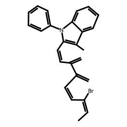 C=C(/C=C\C(Br)=C/C)C(=C)/C=C\c1c(C)c2ccccc2n1-c1ccccc1